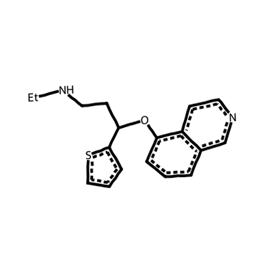 CCNCCC(Oc1cccc2cnccc12)c1cccs1